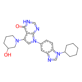 O=c1[nH]cnc2c1c(N1CCCC(O)C1)cn2-c1ccc2c(c1)ncn2C1CCCCC1